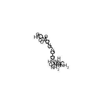 CCC(Nc1nnc(C(N)=O)c(Nc2ccc(C3CCN(CC4CCN(c5ccc6c(c5)C(=O)N(C5CCC(=O)NC5=O)C6=O)C4)CC3)cc2)n1)C(N)=O